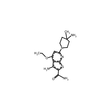 CCOc1cc(N2CCC(C)(N)CC2)nc2sc(C(N)=O)c(N)c12